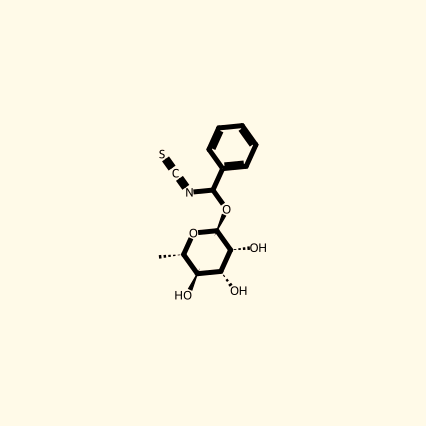 C[C@@H]1O[C@@H](OC(N=C=S)c2ccccc2)[C@H](O)[C@H](O)[C@H]1O